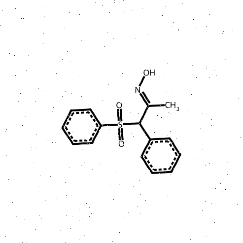 C/C(=N\O)C(c1ccccc1)S(=O)(=O)c1ccccc1